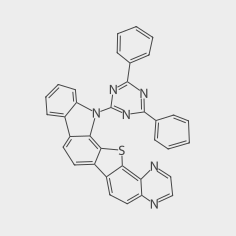 c1ccc(-c2nc(-c3ccccc3)nc(-n3c4ccccc4c4ccc5c6ccc7nccnc7c6sc5c43)n2)cc1